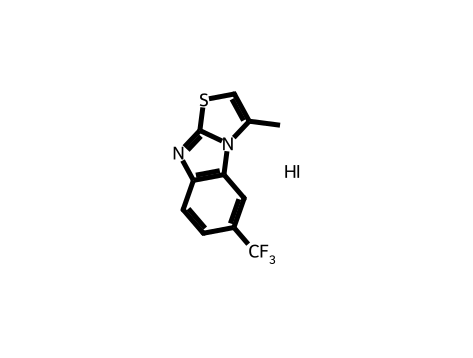 Cc1csc2nc3ccc(C(F)(F)F)cc3n12.I